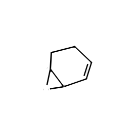 C1=C[C]2OC2CC1